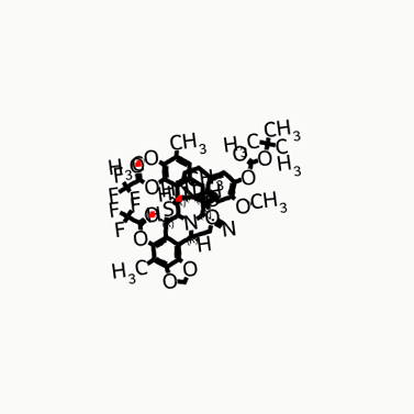 COc1cc2c(cc1OC(=O)OC(C)(C)C)CCN[C@]21CS[C@@H]2c3c(OC(=O)C(F)(F)F)c(C)c4c(c3[C@H](COC1=O)N1C2[C@H]2c3c(cc(C)c(OC)c3OC(=O)C(F)(F)F)C[C@H]([C@@H]1C#N)N2C)OCO4